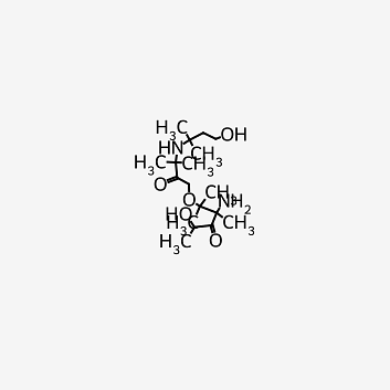 CC(O)C(=O)C(C)(N)C(C)(C)OCC(=O)C(C)(C)NC(C)(C)CCO